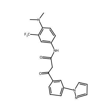 CN(C)c1ccc(NC(=O)CC(=O)c2cccc(-n3cccn3)c2)cc1C(F)(F)F